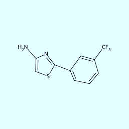 Nc1csc(-c2cccc(C(F)(F)F)c2)n1